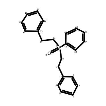 O=P(CCc1ccccc1)(CCc1ccccc1)c1ccccc1